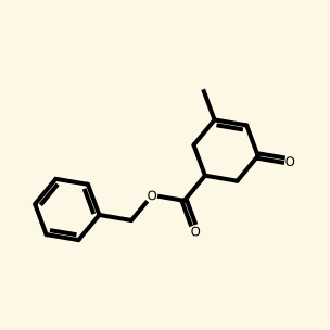 CC1=CC(=O)CC(C(=O)OCc2ccccc2)C1